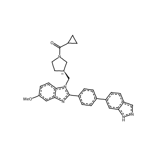 COc1ccc2c(c1)nc(-c1ccc(-c3ccc4cn[nH]c4c3)cc1)n2C[C@H]1CCN(C(=O)C2CC2)C1